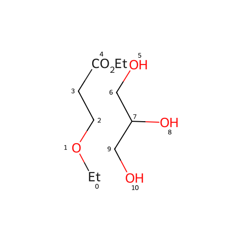 CCOCCC(=O)OCC.OCC(O)CO